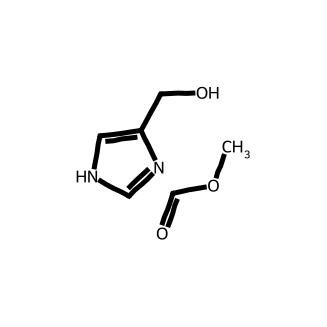 COC=O.OCc1c[nH]cn1